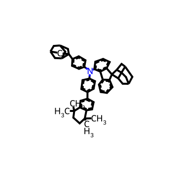 CC1(C)CCC(C)(C)c2cc(-c3ccc(N(c4ccc(C56CC7CC(CC5C7)C6)cc4)c4cccc5c4-c4ccccc4C54C5CC6CC7CC4C75C6)cc3)ccc21